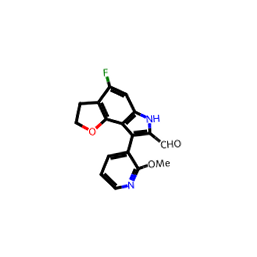 COc1ncccc1-c1c(C=O)[nH]c2cc(F)c3c(c12)OCC3